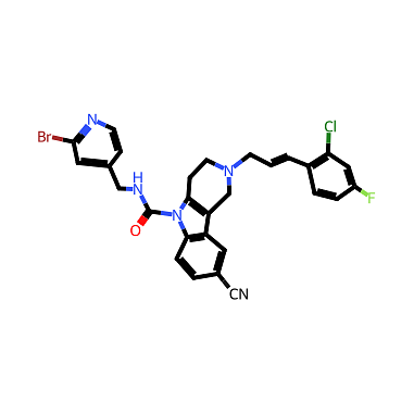 N#Cc1ccc2c(c1)c1c(n2C(=O)NCc2ccnc(Br)c2)CCN(CC=Cc2ccc(F)cc2Cl)C1